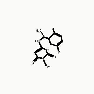 CC(C)n1c(=O)cc(N[C@@H](C)C2CC(F)=CC=C2F)[nH]c1=O